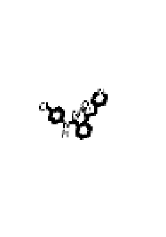 [O-][n+]1nc(Nc2ccc(Cl)cc2)c2ccccc2c1Cc1ccncc1